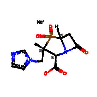 C[C@]1(Cn2ccnc2)[C@H](C(=O)[O-])N2C(=O)C[C@H]2S1(=O)=O.[Na+]